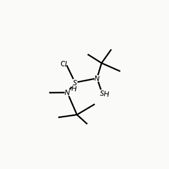 CN([SH](Cl)N(S)C(C)(C)C)C(C)(C)C